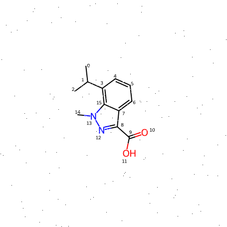 CC(C)c1cccc2c(C(=O)O)nn(C)c12